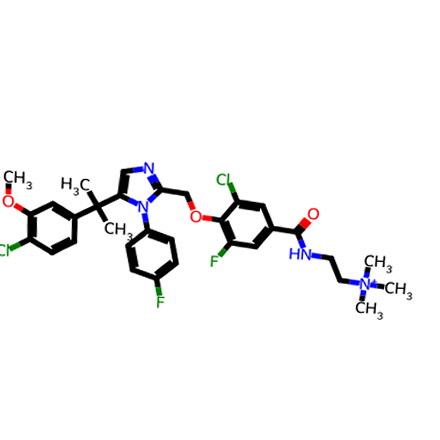 COc1cc(C(C)(C)c2cnc(COc3c(F)cc(C(=O)NCC[N+](C)(C)C)cc3Cl)n2-c2ccc(F)cc2)ccc1Cl